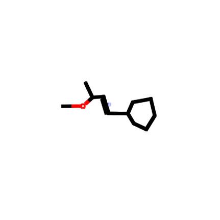 COC(C)/C=C/C1CCCCC1